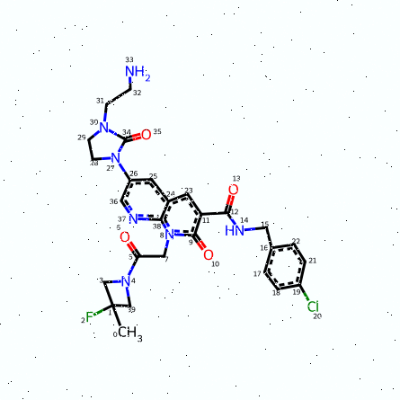 CC1(F)CN(C(=O)Cn2c(=O)c(C(=O)NCc3ccc(Cl)cc3)cc3cc(N4CCN(CCN)C4=O)cnc32)C1